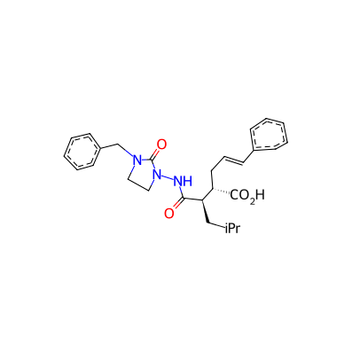 CC(C)C[C@@H](C(=O)NN1CCN(Cc2ccccc2)C1=O)[C@H](C/C=C/c1ccccc1)C(=O)O